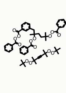 CC(C)(C)OOC(C)(C)C#CC(C)(C)OOC(C)(C)C.CC(C)(CCC(C)(Cc1cccc(C(=O)OOC(=O)c2ccccc2)c1)OOC(=O)c1ccccc1)OOC(=O)c1ccccc1